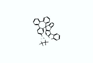 CC1(C)OB(c2ccc3c(c2)C2(c4ccccc4-c4ccccc4-3)c3ccccc3-c3c2ccc2sc4ccccc4c32)OC1(C)C